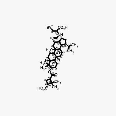 C=C(C)[C@@H]1CC[C@]2(C(=O)NC(CC(C)C)C(=O)O)CC[C@]3(C)C(CC[C@@H]4[C@@]5(C)CC[C@H](OC(=O)C6C[C@@H](C(=O)O)C6(C)C)C(C)(C)[C@@H]5CC[C@]43C)C12